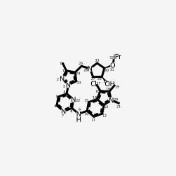 Cc1nn(-c2ccnc(Nc3ccc4c(c3)c(Cl)c(C)n4C)n2)cc1CN1C[C@H](O)[C@H](OC(C)C)C1